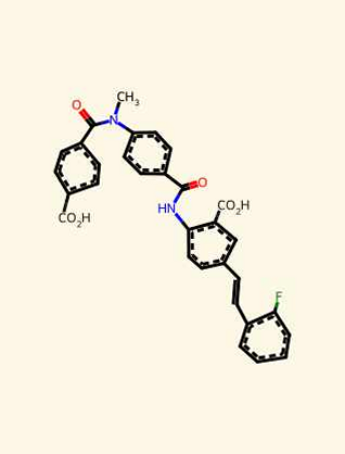 CN(C(=O)c1ccc(C(=O)O)cc1)c1ccc(C(=O)Nc2ccc(/C=C/c3ccccc3F)cc2C(=O)O)cc1